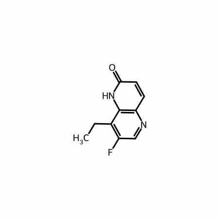 CCc1c(F)cnc2ccc(=O)[nH]c12